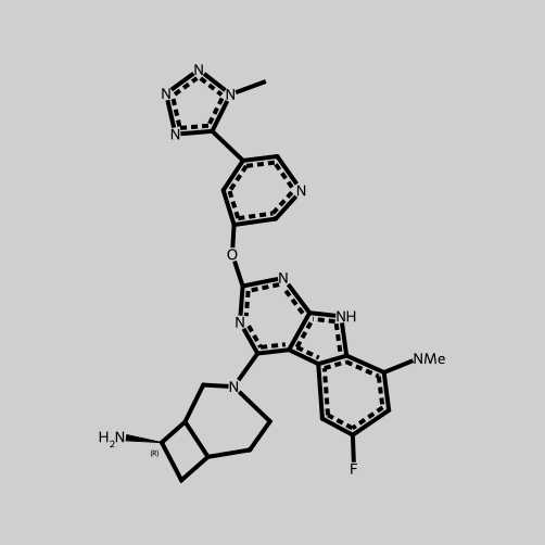 CNc1cc(F)cc2c1[nH]c1nc(Oc3cncc(-c4nnnn4C)c3)nc(N3CCC4C[C@@H](N)C4C3)c12